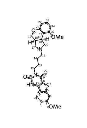 COc1cnc2c(c1)sc1c(=O)n(CCCCN3C[C@@H]4COc5cccc(OC)c5[C@@H]4C3)c(=O)[nH]c12